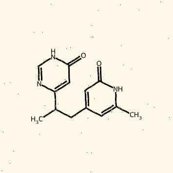 Cc1cc(CC(C)c2cc(=O)[nH]cn2)cc(=O)[nH]1